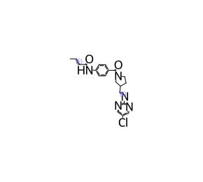 C/C=C/C(=O)Nc1ccc(C(=O)N2CCC(/C=N/c3ncc(Cl)cn3)C2)cc1